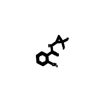 Cc1ccccc1C(=O)NC1CC1(F)F